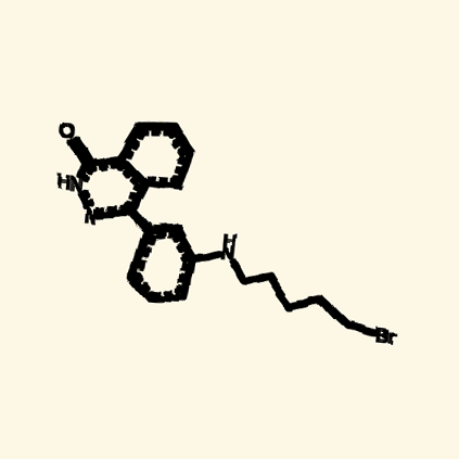 O=c1[nH]nc(-c2cccc(NCCCCCBr)c2)c2ccccc12